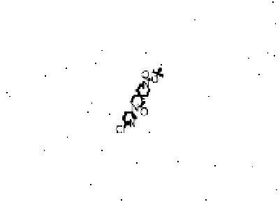 CC(C)(C)OC(=O)N1CCC2(CC1)CCN(c1ccc(Cl)nc1)C(=O)C2